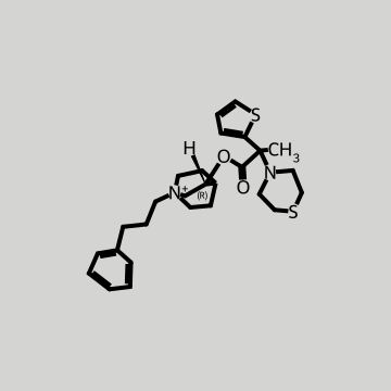 CC(C(=O)O[C@H]1C[N+]2(CCCc3ccccc3)CCC1CC2)(c1cccs1)N1CCSCC1